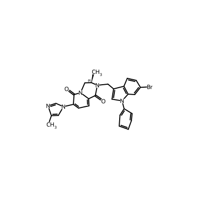 Cc1cn(-c2ccc3n(c2=O)C[C@@H](C)N(Cc2cn(-c4ccccc4)c4cc(Br)ccc24)C3=O)cn1